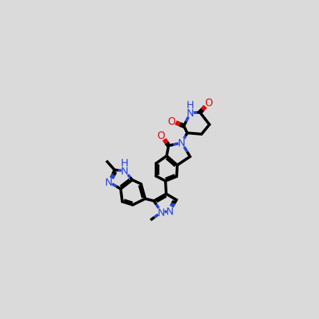 Cc1nc2ccc(-c3c(-c4ccc5c(c4)CN(C4CCC(=O)NC4=O)C5=O)cnn3C)cc2[nH]1